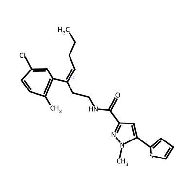 CCC/C=C(/CCNC(=O)c1cc(-c2cccs2)n(C)n1)c1cc(Cl)ccc1C